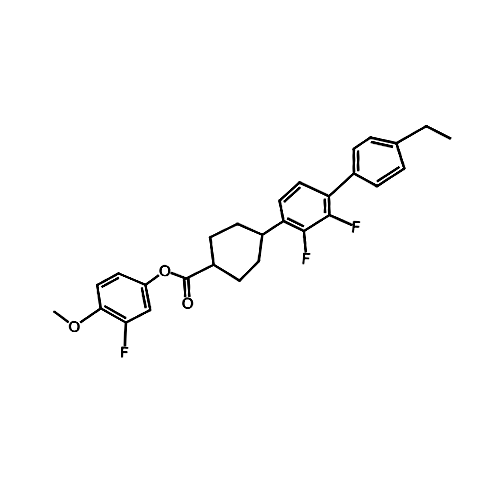 CCc1ccc(-c2ccc(C3CCC(C(=O)Oc4ccc(OC)c(F)c4)CC3)c(F)c2F)cc1